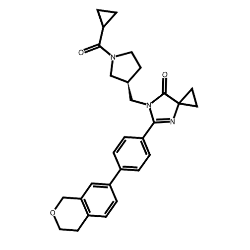 O=C(C1CC1)N1CC[C@@H](CN2C(=O)C3(CC3)N=C2c2ccc(-c3ccc4c(c3)COCC4)cc2)C1